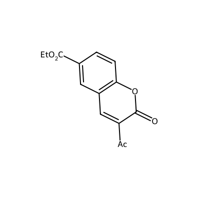 CCOC(=O)c1ccc2oc(=O)c(C(C)=O)cc2c1